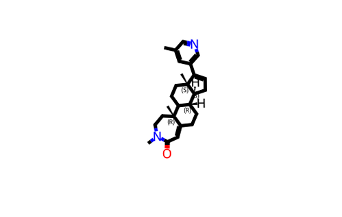 Cc1cncc(C2=CC[C@H]3[C@@H]4CCC5=CC(=O)N(C)CC[C@]5(C)C4CC[C@]23C)c1